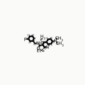 CCSc1nc2cc(N(C)C)ccc2c(C)c1C(=O)NCc1cccc(F)c1